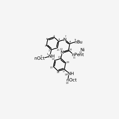 CCCCCCCCNc1cccc(N=C(CCCC)C(CCCCC)=Nc2cccc(NCCCCCCCC)c2)c1.[Ni]